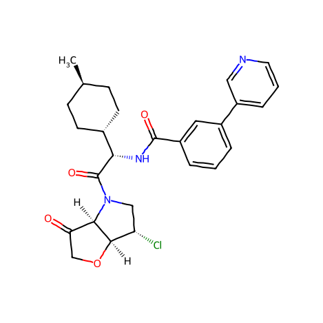 C[C@H]1CC[C@H]([C@H](NC(=O)c2cccc(-c3cccnc3)c2)C(=O)N2C[C@H](Cl)[C@H]3OCC(=O)[C@H]32)CC1